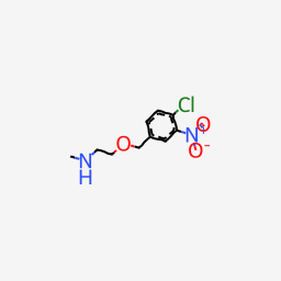 CNCCOCc1ccc(Cl)c([N+](=O)[O-])c1